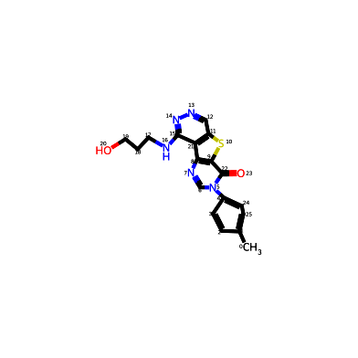 Cc1ccc(-n2cnc3c(sc4cnnc(NCCCO)c43)c2=O)cc1